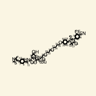 Cc1ncsc1-c1ccc([C@H](C)NC(=O)[C@@H]2C[C@@H](O)CN2C(=O)C(NC(=O)COCCCOCCCCOc2ccc(N3C(=S)N(c4ccc(C#N)c(C(F)(F)F)c4)C(=O)C3(C)C)cc2)C(C)(C)C)cc1